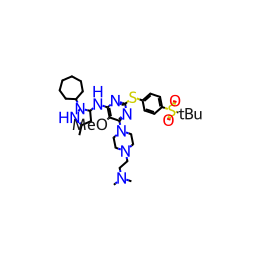 COc1c(NC2CC(C)NN2C2CCCCCC2)nc(Sc2ccc(S(=O)(=O)C(C)(C)C)cc2)nc1N1CCN(CCN(C)C)CC1